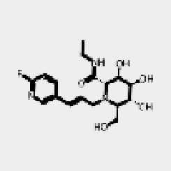 CCNC(=O)[C@@H]1[C@@H](O)[C@@H](O)[C@H](O)[C@@H](CO)N1CC=Cc1ccc(F)nc1